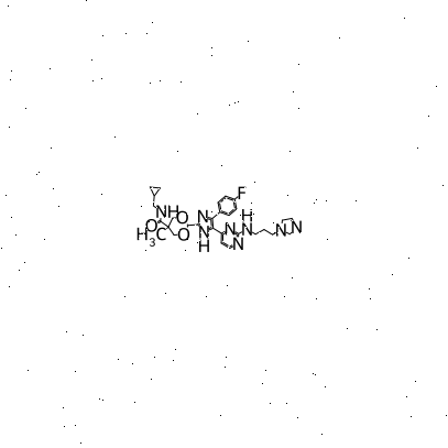 CC1(C(=O)NCC2CC2)COC(c2nc(-c3ccc(F)cc3)c(-c3ccnc(NCCCN4CC=NC4)n3)[nH]2)OC1